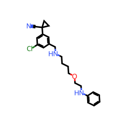 N#CC1(c2cc(Cl)cc(CNCCCCOCCNc3ccccc3)c2)CC1